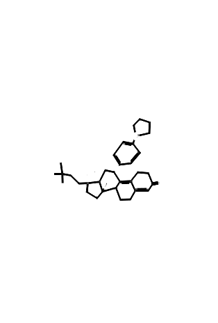 CC(C)(C)CC[C@]1(O)CC[C@H]2[C@@H]3CCC4=CC(=O)CCC4=C3[C@@H](c3ccc(N4CCCC4)cc3)C[C@@]21C